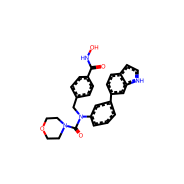 O=C(NO)c1ccc(CN(C(=O)N2CCOCC2)c2cccc(-c3ccc4cc[nH]c4c3)c2)cc1